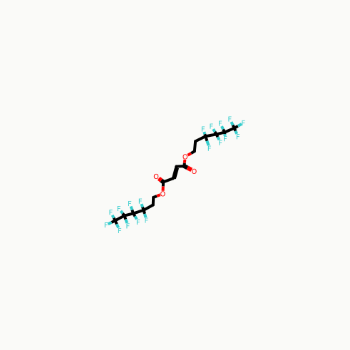 O=C(C=CC(=O)OCCC(F)(F)C(F)(F)C(F)(F)C(F)(F)F)OCCC(F)(F)C(F)(F)C(F)(F)C(F)(F)F